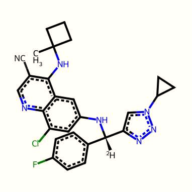 [2H][C@](Nc1cc(Cl)c2ncc(C#N)c(NC3(C)CCC3)c2c1)(c1ccc(F)cc1)c1cn(C2CC2)nn1